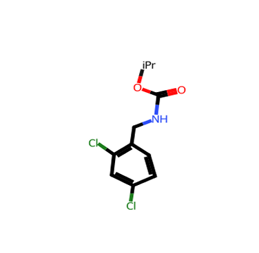 CC(C)OC(=O)NCc1ccc(Cl)cc1Cl